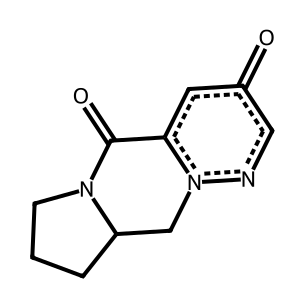 O=C1c2cc(=O)cnn2CC2CCCN12